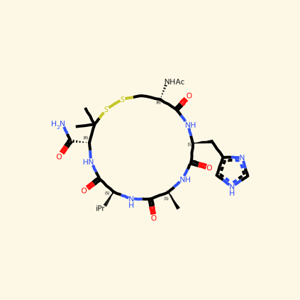 CC(=O)N[C@H]1CSSC(C)(C)[C@@H](C(N)=O)NC(=O)[C@H](C(C)C)NC(=O)[C@H](C)NC(=O)[C@H](Cc2c[nH]cn2)NC1=O